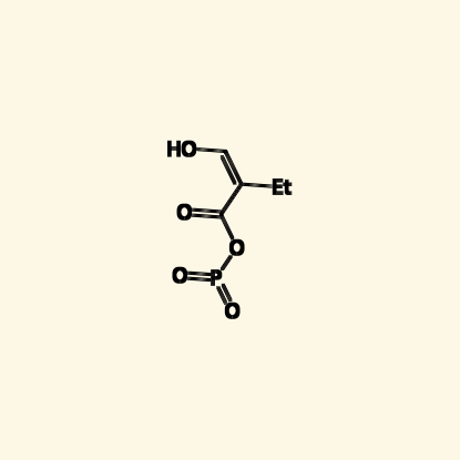 CCC(=CO)C(=O)OP(=O)=O